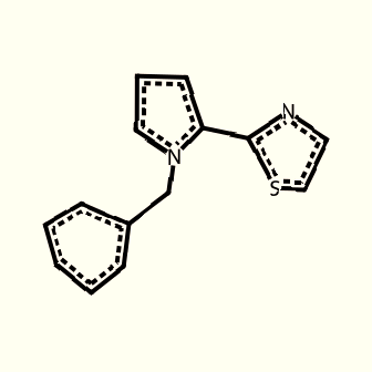 c1ccc(Cn2cccc2-c2nccs2)cc1